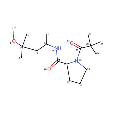 COC(C)(C)CC(C)NC(=O)C1CCCN1C(=O)C(C)(C)C